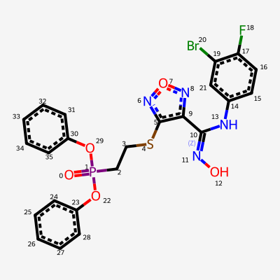 O=P(CCSc1nonc1/C(=N/O)Nc1ccc(F)c(Br)c1)(Oc1ccccc1)Oc1ccccc1